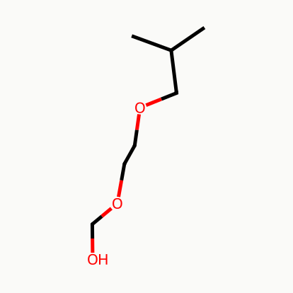 CC(C)COCCOCO